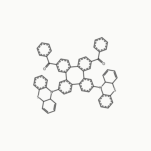 O=C(c1ccccc1)c1ccc2c(c1)-c1cc(N3c4ccccc4SC4C=CC=CC43)ccc1-c1ccc(N3c4ccccc4SC4C=CC=CC43)cc1-c1cc(C(=O)c3ccccc3)ccc1-2